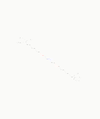 CO[Si](CCCCCCOCCNCCOCCCCCC[Si](OC)(OC)OC)(OC)OC